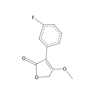 COC1=C(c2cccc(F)c2)C(=O)OC1